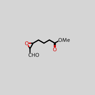 COC(=O)CCCC1OC1C=O